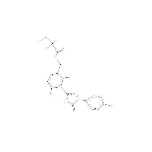 Cc1ccc(CNC(=O)C(C)(C)CF)c(C)c1-c1nn(-c2ccc(I)cc2)c(=O)[nH]1